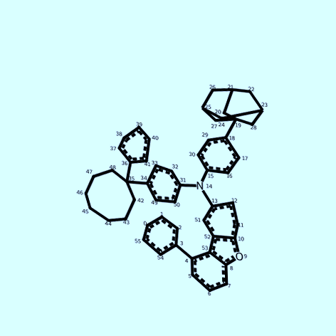 c1ccc(-c2cccc3oc4ccc(N(c5ccc(C67CC8CC(CC(C8)C6)C7)cc5)c5ccc(C6(c7ccccc7)CCCCCCC6)cc5)cc4c23)cc1